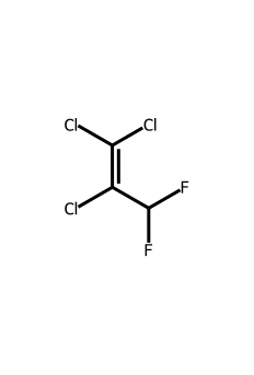 FC(F)C(Cl)=C(Cl)Cl